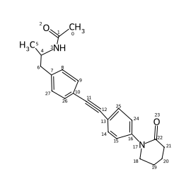 CC(=O)NC(C)Cc1ccc(C#Cc2ccc(N3CCCCC3=O)cc2)cc1